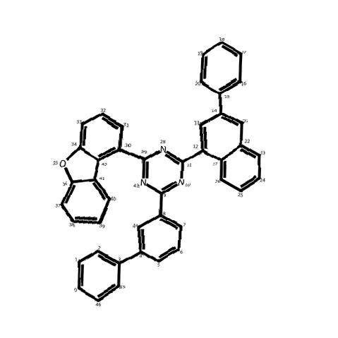 c1ccc(-c2cccc(-c3nc(-c4cc(-c5ccccc5)cc5ccccc45)nc(-c4cccc5oc6ccccc6c45)n3)c2)cc1